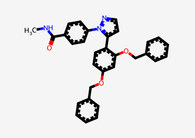 CNC(=O)c1ccc(-n2nccc2-c2ccc(OCc3ccccc3)cc2OCc2ccccc2)cc1